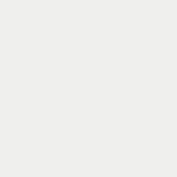 [c]1ccc(OC2Cc3ccccc3C2)cc1